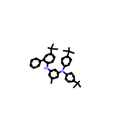 Cc1cc(Nc2ccc(C(C)(C)C)cc2-c2ccccc2)cc(N(c2ccc(C(C)(C)C)cc2)c2ccc(C(C)(C)C)cc2)c1